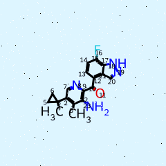 Cc1c(C2(C)CC2)cnc(C(=O)c2ccc(F)c3[nH]ncc23)c1N